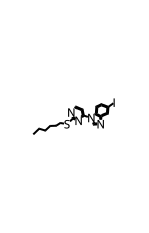 CCCCCCSc1nccc(-n2cnc3cc(I)ccc32)n1